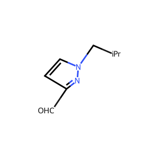 CC(C)Cn1ccc(C=O)n1